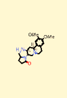 COc1cc2c(cc1OC)[C@@H]1C[C@H](N)[C@@H](N3C(=O)CCC3C)CN1CC2